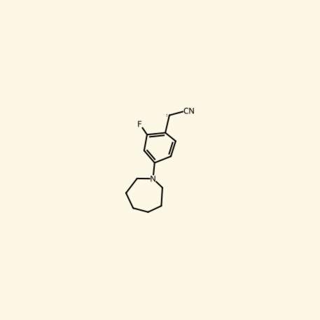 N#C[C]c1ccc(N2CCCCCC2)cc1F